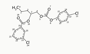 CCCC(COC(=O)Oc1ccc(Cl)cc1)OC(=O)c1cccc(Cl)c1